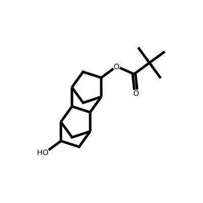 CC(C)(C)C(=O)OC1CC2CC1C1C3CC(O)C(C3)C21